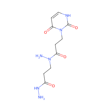 NNC(=O)CCN(N)C(=O)CCn1c(=O)cc[nH]c1=O